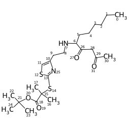 CCCCCCC(NCCc1csc(SC(C)(C)C(=O)OC(C)(C)C)n1)C(=O)CC(C)=O